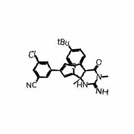 CN1C(=N)N[C@](C)(c2cc(-c3cc(Cl)cc(C#N)c3)cs2)C(c2ccc(C(C)(C)C)cc2)C1=O